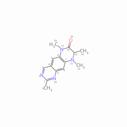 Cc1ncc2cc3c(cc2n1)N(C)C(C)C(=O)N3C